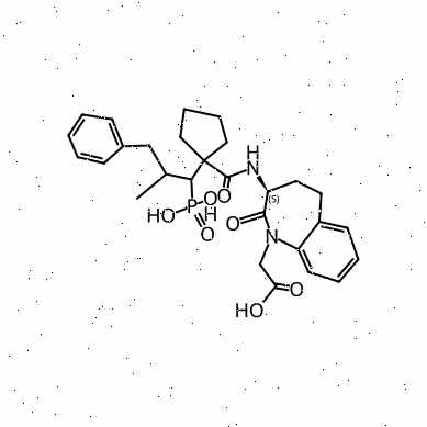 CC(Cc1ccccc1)C(C1(C(=O)N[C@H]2CCc3ccccc3N(CC(=O)O)C2=O)CCCC1)P(=O)(O)O